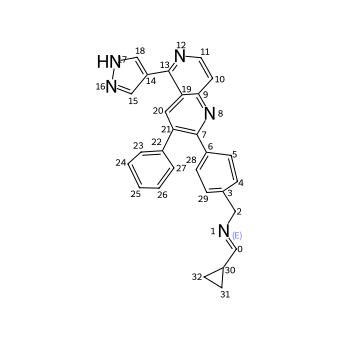 C(=N\Cc1ccc(-c2nc3ccnc(-c4cn[nH]c4)c3cc2-c2ccccc2)cc1)/C1CC1